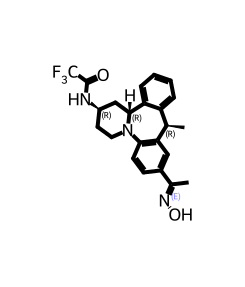 C/C(=N\O)c1ccc2c(c1)[C@H](C)c1ccccc1[C@H]1C[C@H](NC(=O)C(F)(F)F)CCN21